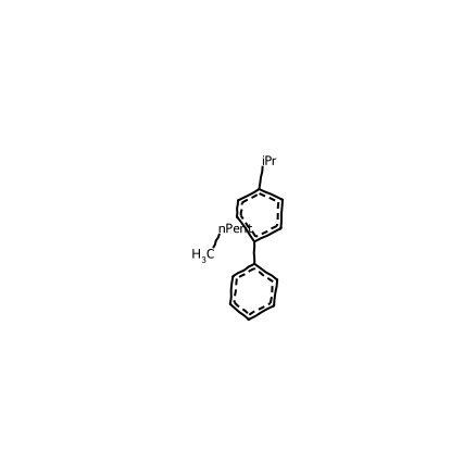 CC(C)c1ccc(-c2ccccc2)cc1.CCCCCC